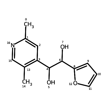 Cc1cc(C(O)C(O)c2ccco2)c(C)cn1